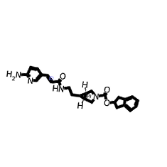 Nc1ccc(/C=C/C(=O)NCCC2[C@H]3CN(C(=O)OC4Cc5ccccc5C4)C[C@@H]23)cn1